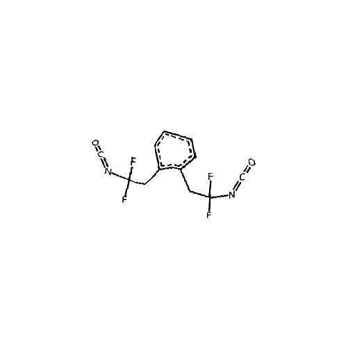 O=C=NC(F)(F)Cc1ccccc1CC(F)(F)N=C=O